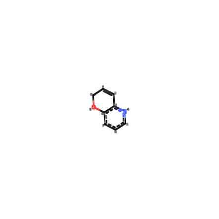 [CH]1C=Cc2ncccc2O1